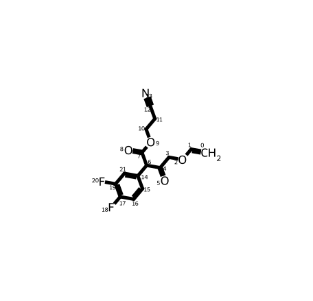 C=COCC(=O)C(C(=O)OCCC#N)c1ccc(F)c(F)c1